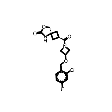 O=C1N[C@]2(CO1)C[C@H](C(=O)N1CC(OCc3ccc(F)cc3Cl)C1)C2